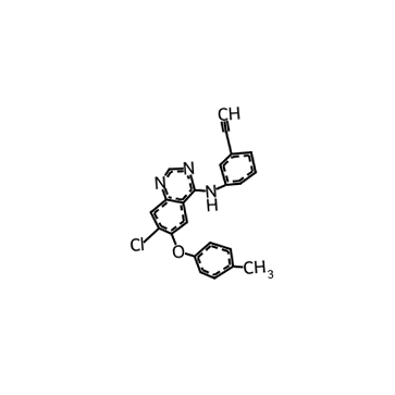 C#Cc1cccc(Nc2ncnc3cc(Cl)c(Oc4ccc(C)cc4)cc23)c1